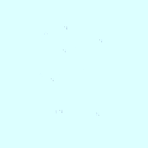 CCNc1cc(-c2ccc3ncc4c(c3c2)n(-c2c(C)noc2C)c(=O)n4C)cnc1F